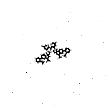 O=C(c1ncc(F)cc1N1CCC2(CC(C(F)F)c3cc(-c4ccccc4C4CC4)ccc32)C1)c1ncc(F)cc1N1CCC2(CC(C(F)F)c3cc(-c4ccccc4C4CC4)ccc32)C1